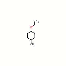 CCOC1CCC(C)CC1